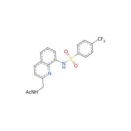 CC(=O)NCc1ccc2cccc(NS(=O)(=O)c3ccc(C(F)(F)F)cc3)c2n1